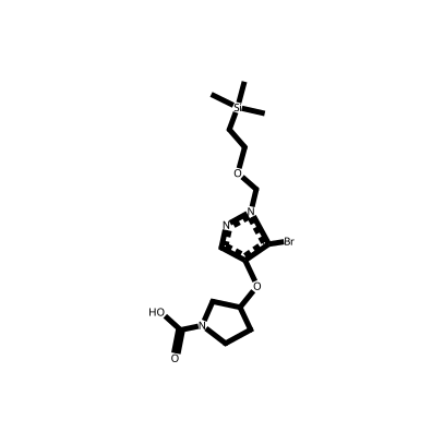 C[Si](C)(C)CCOCn1ncc(OC2CCN(C(=O)O)C2)c1Br